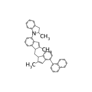 CC1=Cc2c(-c3cccc4ccccc34)cccc2C1CC1C(C)=Cc2c1cccc2N1c2ccccc2CC1C